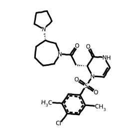 Cc1cc(S(=O)(=O)N2C=CNC(=O)[C@H]2CC(=O)N2CCCC[C@H](N3CCCC3)C2)c(C)cc1Cl